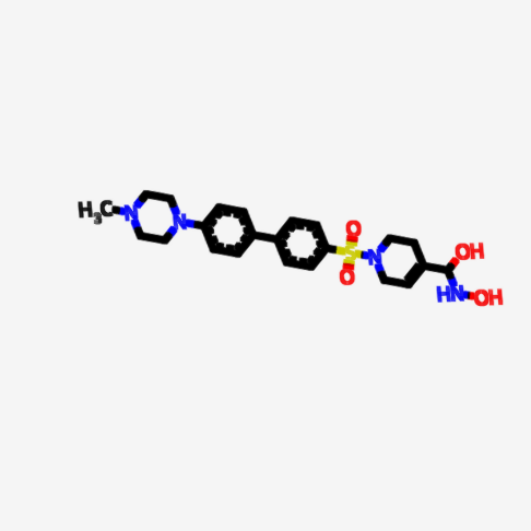 CN1CCN(c2ccc(-c3ccc(S(=O)(=O)N4CC=C(C(O)NO)CC4)cc3)cc2)CC1